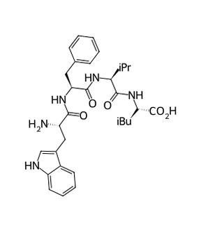 CC[C@H](C)[C@H](NC(=O)[C@@H](NC(=O)[C@H](Cc1ccccc1)NC(=O)[C@@H](N)Cc1c[nH]c2ccccc12)C(C)C)C(=O)O